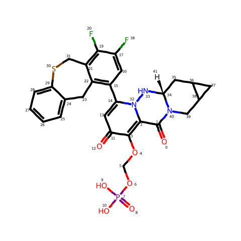 O=C1c2c(OCOP(=O)(O)O)c(=O)cc(-c3cc(F)c(F)c4c3Cc3ccccc3SC4)n2N[C@@H]2CC3CC3CN12